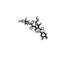 Cc1cc(NC(=O)c2c(C)c(C(=O)C(=O)NCC(C)(C)O)n(CCF)c2C)ccc1F